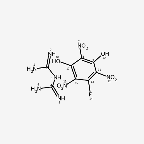 N=C(N)NC(=N)N.O=[N+]([O-])c1c(O)c([N+](=O)[O-])c(F)c([N+](=O)[O-])c1O